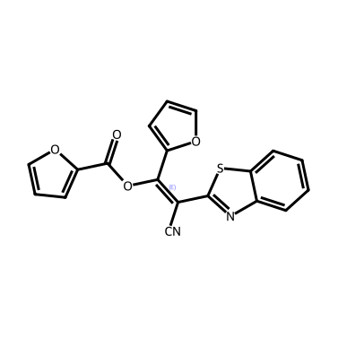 N#C/C(=C(\OC(=O)c1ccco1)c1ccco1)c1nc2ccccc2s1